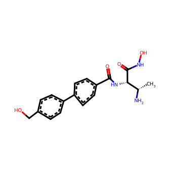 C[C@H](N)[C@H](NC(=O)c1ccc(-c2ccc(CO)cc2)cc1)C(=O)NO